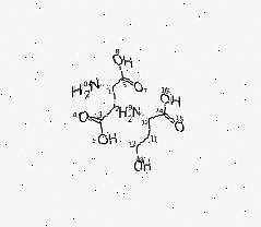 N[C@@H](CC(=O)O)C(=O)O.N[C@@H](CCO)C(=O)O